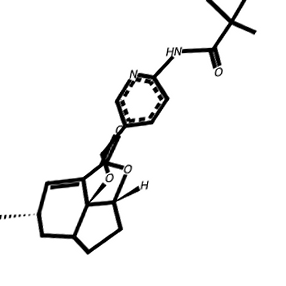 C[C@@H]1C=C2C(=O)O[C@@H]3CCC(C1)[C@]23OCc1ccc(NC(=O)C(C)(C)C)nc1